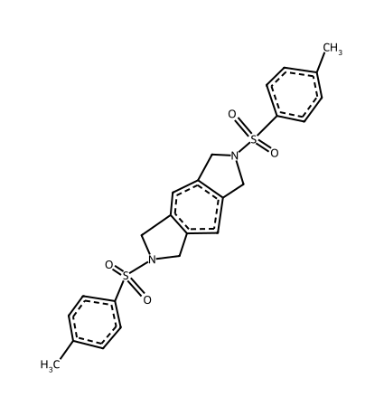 Cc1ccc(S(=O)(=O)N2Cc3cc4c(cc3C2)CN(S(=O)(=O)c2ccc(C)cc2)C4)cc1